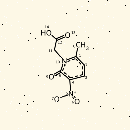 Cc1ccc([N+](=O)[O-])c(=O)n1CC(=O)O